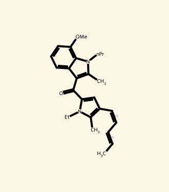 C/C=C/C=C\c1cc(C(=O)c2c(C)n(CCC)c3c(OC)cccc23)n(CC)c1C